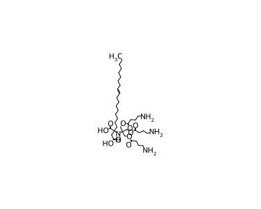 CCCCCCCC/C=C/CCCCCCCCC(CC(=O)O)(NC(COC(=O)CCCN)(COC(=O)CCCN)COC(=O)CCCN)C(=O)O